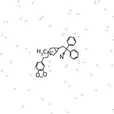 C[N+]1(CCc2ccc3c(c2)OCO3)CC2C(CC(C#N)(c3ccccc3)c3ccccc3)C2C1